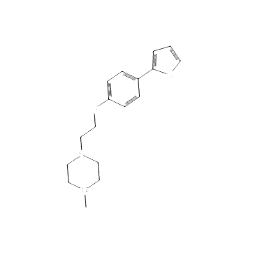 CN1CCN(CCOc2ccc(-c3cc[c]s3)cc2)CC1